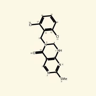 CSc1ncc2c(n1)NCN(Cc1c(Cl)cccc1Cl)C2=O